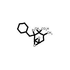 CCC1(CC2CCCCC2)C(C)(C(=O)O)C(C)CC23OC21O3